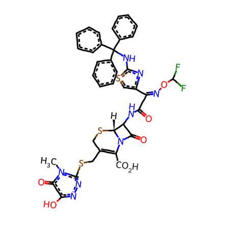 Cn1c(SCC2=C(C(=O)O)N3C(=O)C(NC(=O)/C(=N/OC(F)F)c4csc(NC(c5ccccc5)(c5ccccc5)c5ccccc5)n4)[C@H]3SC2)nnc(O)c1=O